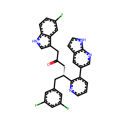 O=C(Cc1c[nH]c2ccc(F)cc12)C[C@@H](Cc1cc(F)cc(F)c1)c1ncccc1-c1cnc2[nH]ccc2c1